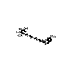 COc1ccc(CN(C)CCOCCOCCOCCOCCN2C[C@H](O)[C@@H](O)[C@H](O)[C@H]2CO)c(OC)c1